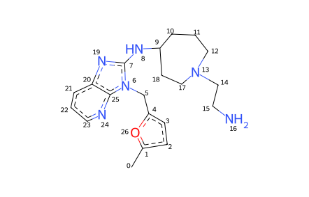 Cc1ccc(Cn2c(NC3CCCN(CCN)CC3)nc3cccnc32)o1